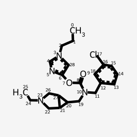 CCCn1cnc(OC(=O)N(Cc2cccc(Cl)c2)CC2C3CN(CC)CC32)c1